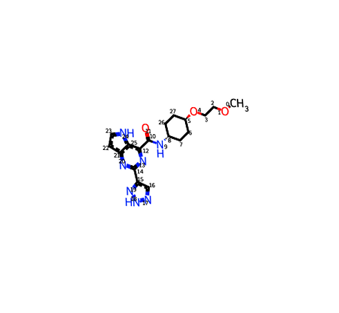 COCCO[C@H]1CC[C@H](NC(=O)c2nc(-c3cn[nH]n3)nc3cc[nH]c23)CC1